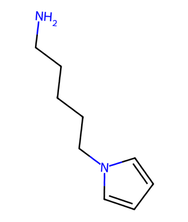 NCCCCCn1cccc1